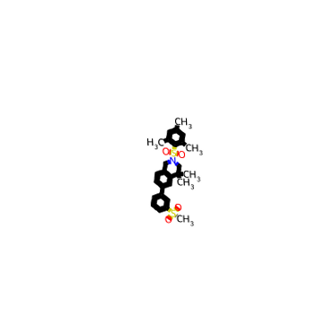 Cc1cc(C)c(S(=O)(=O)N2Cc3ccc(-c4cccc(S(C)(=O)=O)c4)cc3C(C)(C)C2)c(C)c1